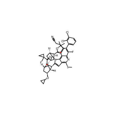 CSc1nc2c(F)c(-c3cccc(Cl)c3Cl)c(CCC#N)cc2c2c1cc([C@H]1[C@H]3C[C@H](C[C@@H]3OC3CC3)N1C(=O)C1(F)CC1)n2[C@H]1[C@@H]2C[C@H]1N(C(=O)OC(C)(C)C)C2